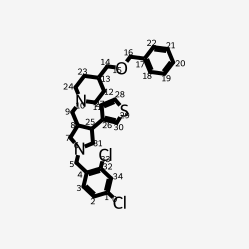 Clc1ccc(CN2CC(CN3CCC(COCc4ccccc4)CC3)C(c3ccsc3)C2)c(Cl)c1